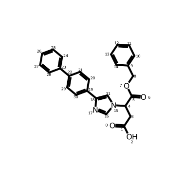 O=C(O)CC(C(=O)OCc1ccccc1)n1cnc(-c2ccc(-c3ccccc3)cc2)c1